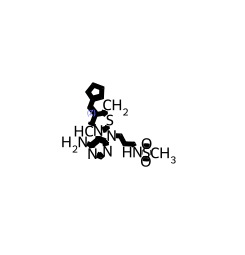 C#C/C(=C/C1=CCCC1)C(=C)Sc1nc2c(N)ncnc2n1CCCNS(C)(=O)=O